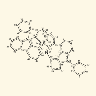 c1ccc(-n2c3ccccc3c3c(-n4c5ccccc5c5c([Si](c6ccccc6)(c6ccccc6)c6ccccc6)cccc54)cccc32)cc1